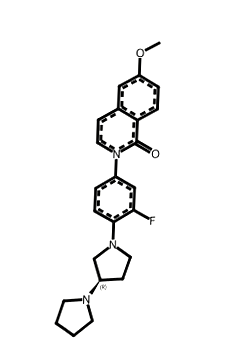 COc1ccc2c(=O)n(-c3ccc(N4CC[C@@H](N5CCCC5)C4)c(F)c3)ccc2c1